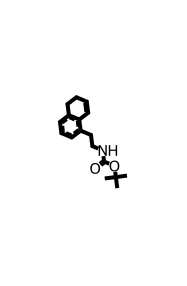 CC(C)(C)OC(=O)NCCc1cccc2c1C=CCC2